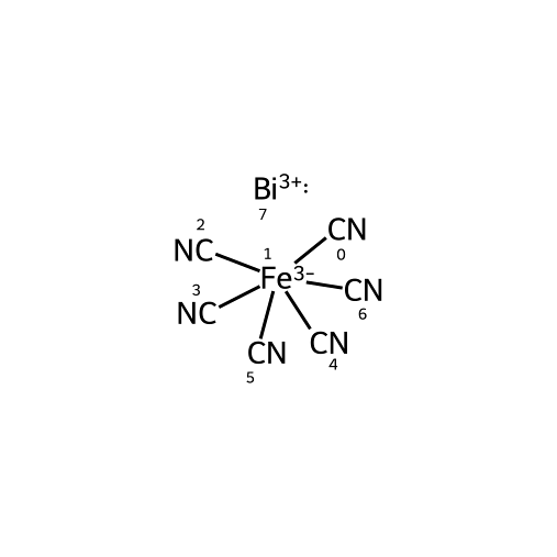 N#[C][Fe-3]([C]#N)([C]#N)([C]#N)([C]#N)[C]#N.[Bi+3]